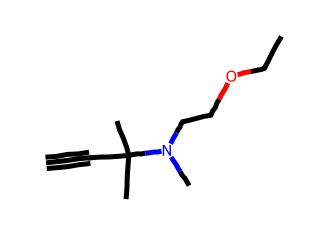 C#CC(C)(C)N(C)CCOCC